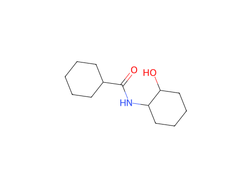 O=C(NC1CCCCC1O)C1CCCCC1